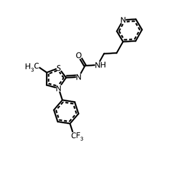 Cc1cn(-c2ccc(C(F)(F)F)cc2)c(=NC(=O)NCCc2cccnc2)s1